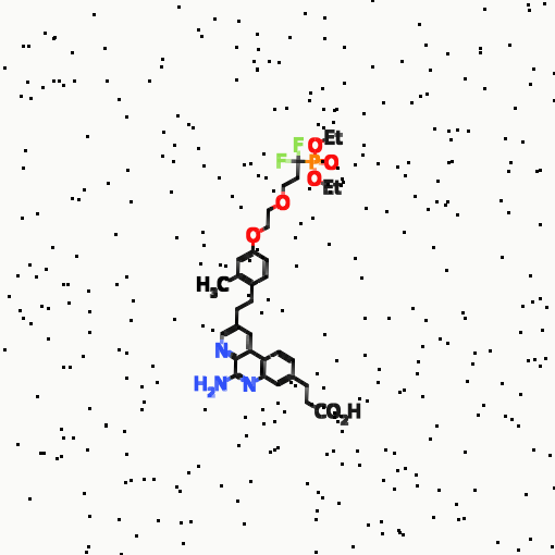 CCOP(=O)(OCC)C(F)(F)CCOCCOc1ccc(CCc2cnc3c(N)nc4cc(CCC(=O)O)ccc4c3c2)c(C)c1